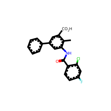 Cc1c(NC(=O)c2ccc(F)cc2Cl)cc(-c2ccccc2)cc1C(=O)O